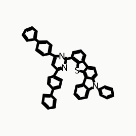 c1ccc(-c2ccc(-c3cc(-c4ccc(-c5ccccc5)cc4)nc(-c4cccc5c4sc4c5ccc5c4c4ccccc4n5-c4ccccc4)n3)cc2)cc1